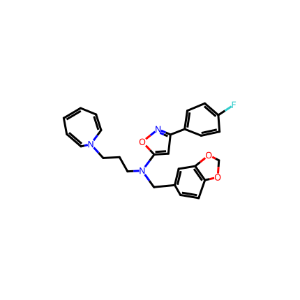 Fc1ccc(-c2cc(N(CCCN3C=CC=CC=C3)Cc3ccc4c(c3)OCO4)on2)cc1